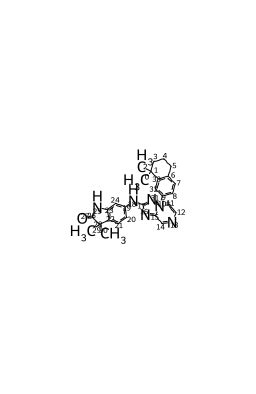 CC1(C)CCCc2ccc([N+]34C=CN=CC3=NC(Nc3ccc5c(c3)NC(=O)C5(C)C)=N4)cc21